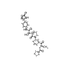 CN(CC(=O)N1CCCC1)C(=O)C1=CC(N2CCO[C@H]([C@@H](O)C(=O)Nc3ccc(-c4noc(=O)[nH]4)cc3)C2=O)CC=C1